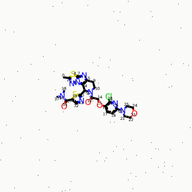 Cc1nn2c3c(nc2s1)CCN(C(=O)COc1ccc(N2CCOCC2)nc1Cl)C3c1ncc(C(=O)N(C)C)s1